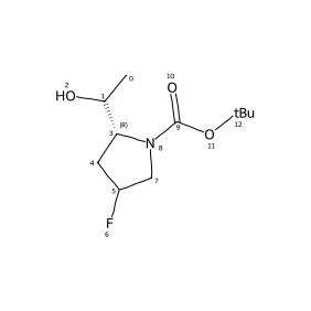 CC(O)[C@H]1CC(F)CN1C(=O)OC(C)(C)C